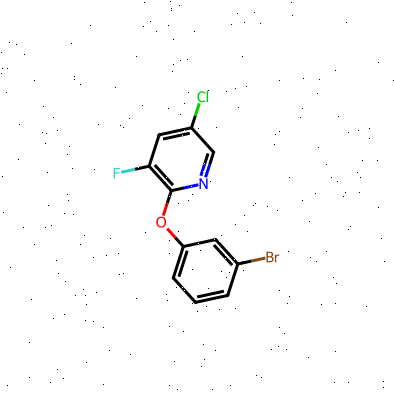 Fc1cc(Cl)cnc1Oc1cccc(Br)c1